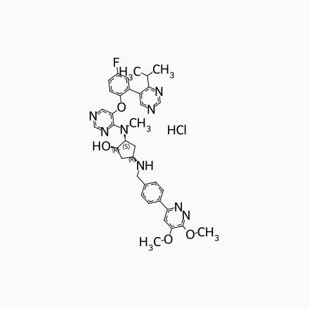 COc1cc(-c2ccc(CN[C@H]3C[C@@H](O)[C@@H](N(C)c4ncncc4Oc4ccc(F)cc4-c4cncnc4C(C)C)C3)cc2)nnc1OC.Cl